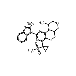 CNc1nc2ccccc2n1-c1nc2c(c(C3(S(C)(=O)=O)CC3)n1)OCC1COCC(C)N21